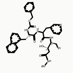 CCC(C)NC(=O)C[C@H](O)[C@H](CC(C)C)NC(=O)C(Cc1cccnc1)NC(=O)[C@H](Cc1cccc2ccccc12)NC(=O)OCc1ccccc1